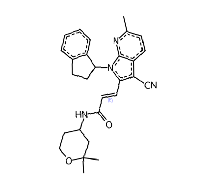 Cc1ccc2c(C#N)c(/C=C/C(=O)NC3CCOC(C)(C)C3)n(C3CCc4ccccc43)c2n1